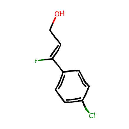 OCC=C(F)c1ccc(Cl)cc1